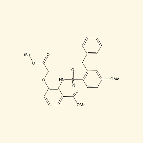 COC(=O)c1cccc(OCC(=O)OC(C)(C)C)c1NS(=O)(=O)c1ccc(OC)cc1Cc1ccccc1